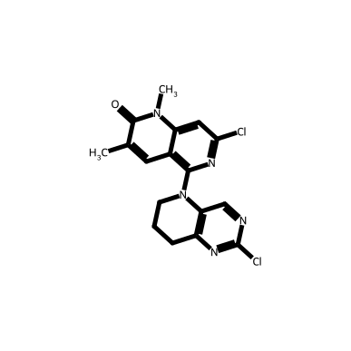 Cc1cc2c(N3CCCc4nc(Cl)ncc43)nc(Cl)cc2n(C)c1=O